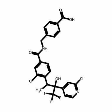 CC(c1ccc(C(=O)NCc2ccc(C(=O)O)cc2)cc1Cl)C(O)(c1ccnc(Cl)c1)C(F)(F)F